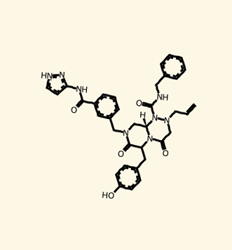 C=CCN1CC(=O)N2C(Cc3ccc(O)cc3)C(=O)N(Cc3cccc(C(=O)Nc4cc[nH]n4)c3)C[C@@H]2N1C(=O)NCc1ccccc1